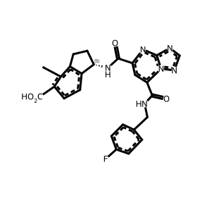 Cc1c(C(=O)O)ccc2c1CC[C@@H]2NC(=O)c1cc(C(=O)NCc2ccc(F)cc2)n2ncnc2n1